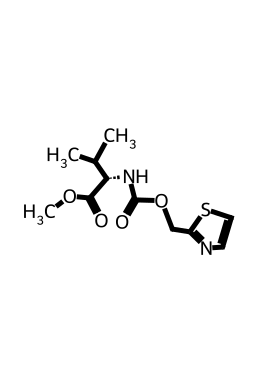 COC(=O)[C@@H](NC(=O)OCc1nccs1)C(C)C